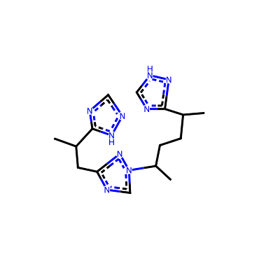 CC(CCC(C)n1cnc(CC(C)c2ncn[nH]2)n1)c1nc[nH]n1